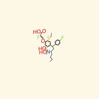 CCCCC1CC(c2ccc(F)cc2)c2cc(SCC)c(O/C=C(\F)C(=O)O)cc2S(O)(O)N1C